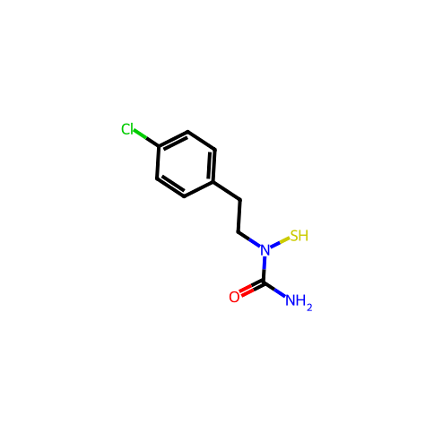 NC(=O)N(S)CCc1ccc(Cl)cc1